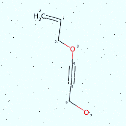 C=CCOC#CC[O]